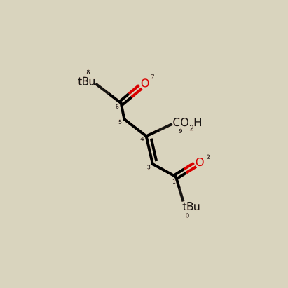 CC(C)(C)C(=O)/C=C(/CC(=O)C(C)(C)C)C(=O)O